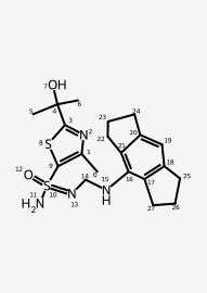 Cc1nc(C(C)(C)O)sc1S(N)(=O)=NCNc1c2c(cc3c1CCC3)CCC2